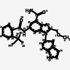 COCc1nc2c(C(N)=O)cc(NC(=O)c3ccccc3C(F)(F)F)cc2n1-c1ccc2[nH]ccc2c1